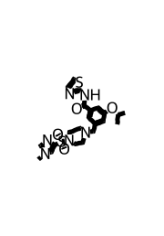 CC(C)Oc1cc(CN2CCN(S(=O)(=O)c3cn(C)cn3)CC2)cc(C(=O)Nc2nccs2)c1